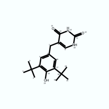 CC(C)(C)c1cc(Cc2c[nH]c(=O)[nH]c2=O)cc(C(C)(C)C)c1O